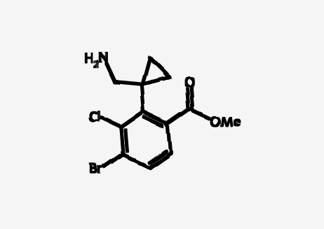 COC(=O)c1ccc(Br)c(Cl)c1C1(CN)CC1